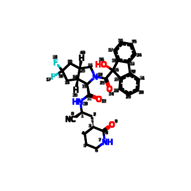 N#C[C@H](C[C@H]1CCCNC1=O)NC(=O)[C@H]1[C@@H]2CC(F)(F)C[C@@H]2CN1C(=O)C1(O)c2ccccc2-c2ccccc21